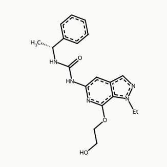 CCn1ncc2cc(NC(=O)N[C@H](C)c3ccccc3)nc(OCCO)c21